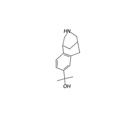 CC(C)(O)c1ccc2c(c1)CC1CNCC2C1